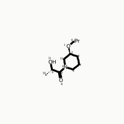 CC(C)O[C@H]1CCCN(C(=O)[C@H](C)O)C1